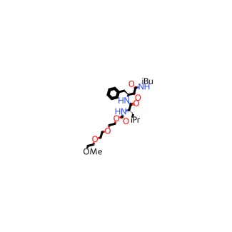 CCC(C)NC(=O)C(=O)[C@H](Cc1ccccc1)NC(=O)[C@H](CC(C)C)NC(=O)OCCOCCOCCOC